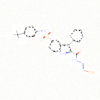 CC(C)(C)c1ccc(NS(=O)(=O)c2ccc3[nH]c(C(=O)NCCO)c(-c4ccccc4)c3c2)cc1